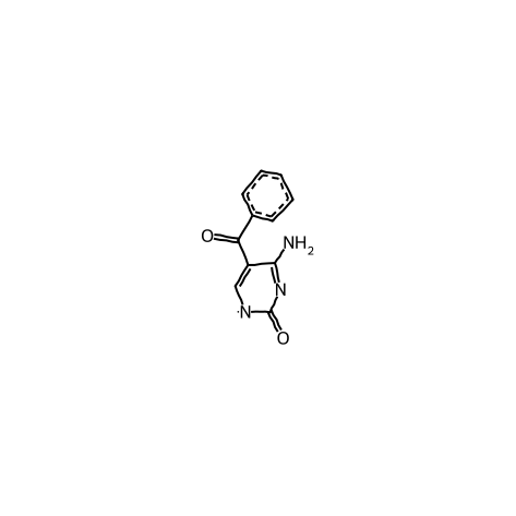 NC1=NC(=O)[N]C=C1C(=O)c1ccccc1